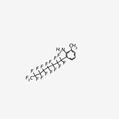 Cc1cccc(C(F)(F)C(F)(F)C(F)(F)C(F)(F)C(F)(F)C(F)(F)C(F)(F)C(F)(F)F)c1N